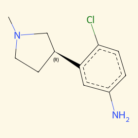 CN1CC[C@H](c2cc(N)ccc2Cl)C1